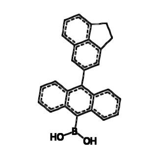 OB(O)c1c2ccccc2c(-c2cc3c4c(cccc4c2)CC3)c2ccccc12